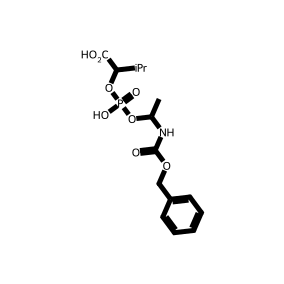 CC(NC(=O)OCc1ccccc1)OP(=O)(O)OC(C(=O)O)C(C)C